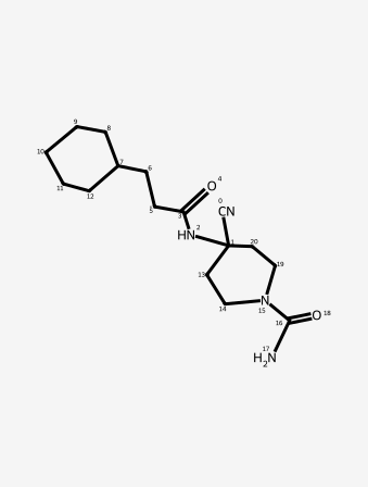 N#CC1(NC(=O)[CH]CC2CCCCC2)CCN(C(N)=O)CC1